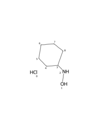 Cl.ONC1CCCCC1